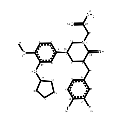 COc1ccc([C@@H]2CC(Cc3ccc(F)c(F)c3)C(=O)N(CC(N)=O)C2)cc1OC1CCCC1